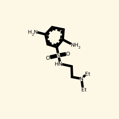 CCN(CC)CCNS(=O)(=O)c1cc(N)ccc1N